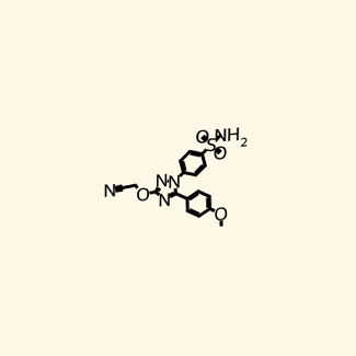 COc1ccc(-c2nc(OCC#N)nn2-c2ccc(S(N)(=O)=O)cc2)cc1